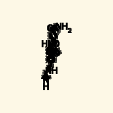 CC(C)(N)C(=O)N1CCN(C(=O)Nc2ccn(-c3ccc(CCNCC4CNC4)cc3)c(=O)n2)CC1.Cl